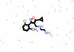 Cc1cccc(Cl)c1-c1noc(C2CC2)c1CNCCN